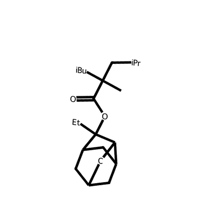 CCC(C)C(C)(CC(C)C)C(=O)OC1(CC)C2CC3CC(C2)C1C3